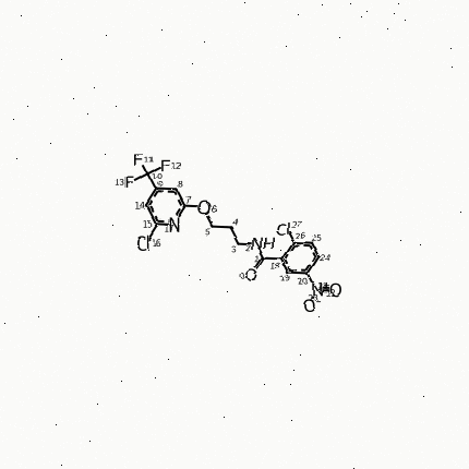 O=C(NCCCOc1cc(C(F)(F)F)cc(Cl)n1)c1cc([N+](=O)[O-])ccc1Cl